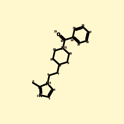 Cc1nccn1CCC1CCN(C(=O)c2ccccc2)CC1